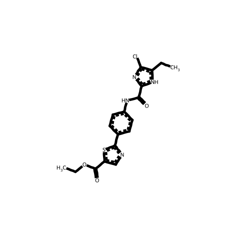 CCOC(=O)c1cnc(-c2ccc(NC(=O)c3nc(Cl)c(CC)[nH]3)cc2)s1